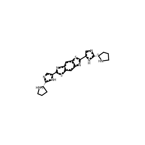 c1nc([C@@H]2CCCN2)[nH]c1-c1nc2cc3sc(-c4cnc([C@@H]5CCCN5)[nH]4)nc3cc2s1